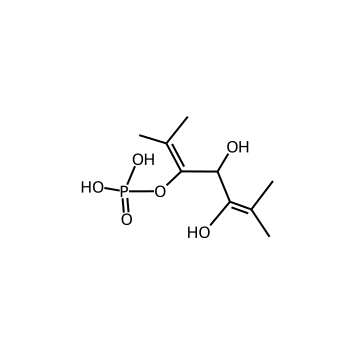 CC(C)=C(O)C(O)C(OP(=O)(O)O)=C(C)C